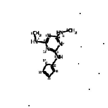 CNc1nc(NC)nc(Nc2cccs2)n1